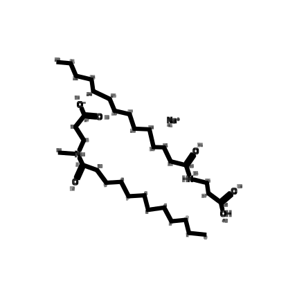 CCCCCCCCCCCC(=O)N(C)CCC(=O)[O-].CCCCCCCCCCCCCC(=O)NCCC(=O)O.[Na+]